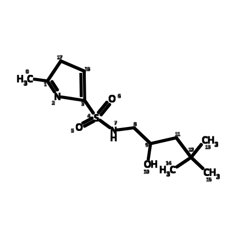 CC1=NC(S(=O)(=O)NCC(O)CC(C)(C)C)=CC1